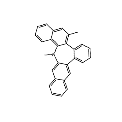 Cc1cc2ccccc2c2c1-c1ccccc1-c1cc3ccccc3cc1N2C